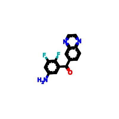 Nc1cc(F)c(F)c(C(=O)c2ccc3nccnc3c2)c1